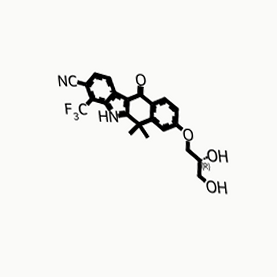 CC1(C)c2cc(OC[C@H](O)CO)ccc2C(=O)c2c1[nH]c1c(C(F)(F)F)c(C#N)ccc21